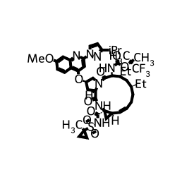 CC[C@@H]1CC/C=C\[C@H]2C[C@@]2(C(=O)NS(=O)(=O)C2(C)CC2)NC(=O)[C@@H]2C[C@@H](Oc3cc(-n4ccc(C(C)C)n4)nc4cc(OC)ccc34)CN2C(=O)[C@@H](NC(=O)OC(C)(C)C(F)(F)F)[C@H](CC)C1